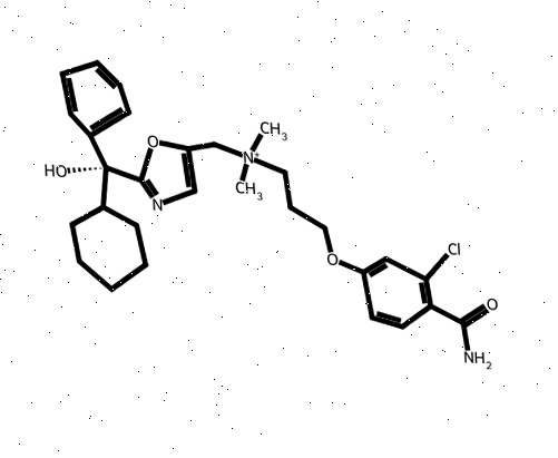 C[N+](C)(CCCOc1ccc(C(N)=O)c(Cl)c1)Cc1cnc([C@](O)(c2ccccc2)C2CCCCC2)o1